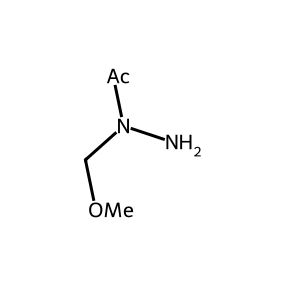 COCN(N)C(C)=O